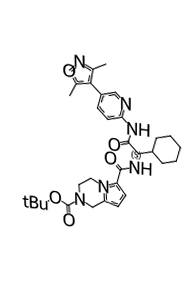 Cc1noc(C)c1-c1ccc(NC(=O)[C@@H](NC(=O)c2ccc3n2CCN(C(=O)OC(C)(C)C)C3)C2CCCCC2)nc1